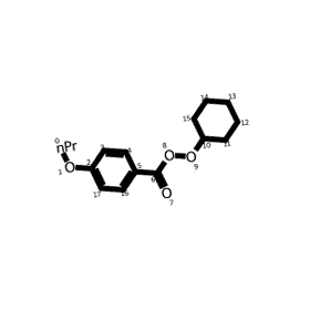 CCCOc1ccc(C(=O)OO[C]2CCCCC2)cc1